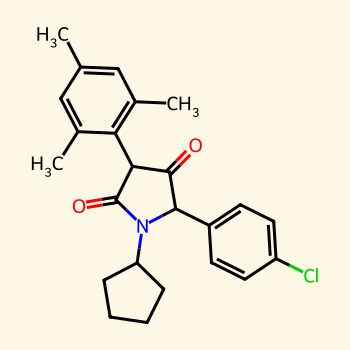 Cc1cc(C)c(C2C(=O)C(c3ccc(Cl)cc3)N(C3CCCC3)C2=O)c(C)c1